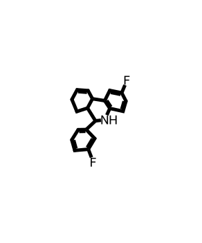 Fc1cccc(C2Nc3ccc(F)cc3C3C=CCCC32)c1